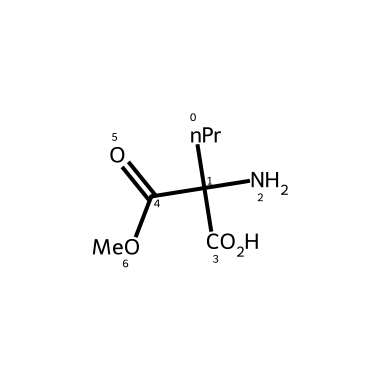 CCCC(N)(C(=O)O)C(=O)OC